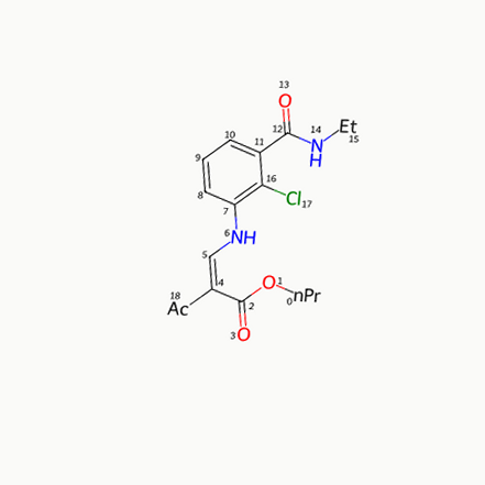 CCCOC(=O)C(=CNc1cccc(C(=O)NCC)c1Cl)C(C)=O